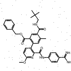 COc1ccc(-c2cc(C)c(C(=O)NCC(C)(C)C)cc2C(=O)OCc2ccccc2)c(C(=O)Nc2ccc(C(=N)N)cc2)n1